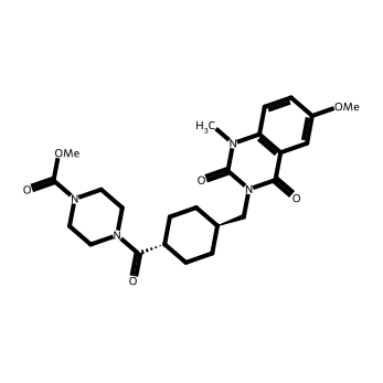 COC(=O)N1CCN(C(=O)[C@H]2CC[C@H](Cn3c(=O)c4cc(OC)ccc4n(C)c3=O)CC2)CC1